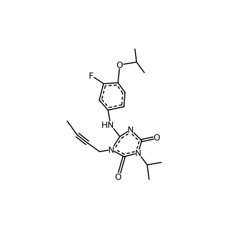 CC#CCn1c(Nc2ccc(OC(C)C)c(F)c2)nc(=O)n(C(C)C)c1=O